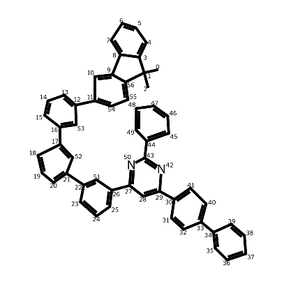 CC1(C)c2ccccc2-c2cc(-c3cccc(-c4cccc(-c5cccc(-c6cc(-c7ccc(-c8ccccc8)cc7)nc(-c7ccccc7)n6)c5)c4)c3)ccc21